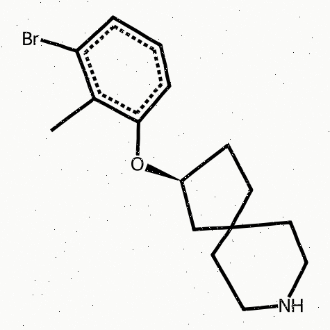 Cc1c(Br)cccc1O[C@H]1CCC2(CCNCC2)C1